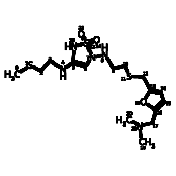 CSCCNC1=CN(NCCSCc2ccc(CN(C)C)o2)S(=O)(=O)N1